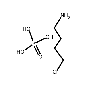 NCCCCCl.O=P(O)(O)O